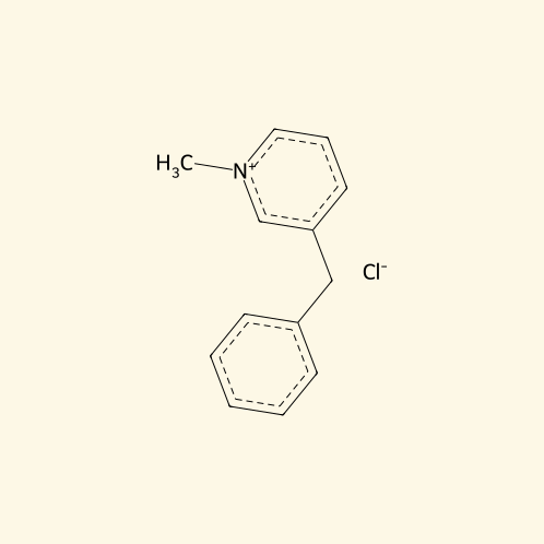 C[n+]1cccc(Cc2ccccc2)c1.[Cl-]